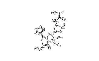 CC(N)C(=O)N[C@@H]1CN(c2cc3c(c(N)c2F)c(=O)c(C(=O)O)cn3-c2ccon2)C[C@@H]1C